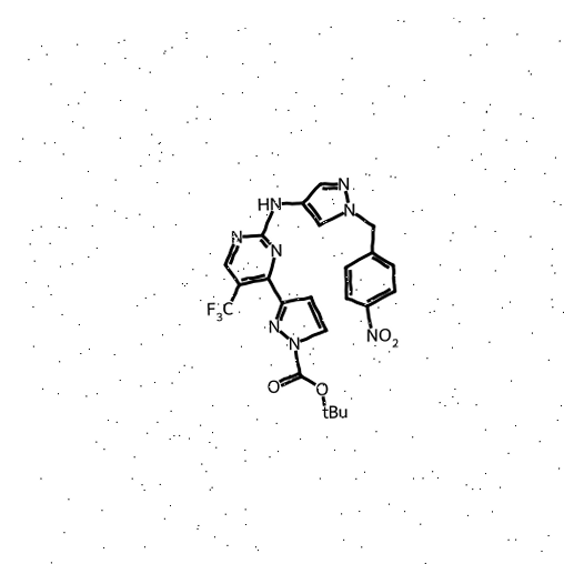 CC(C)(C)OC(=O)n1ccc(-c2nc(Nc3cnn(Cc4ccc([N+](=O)[O-])cc4)c3)ncc2C(F)(F)F)n1